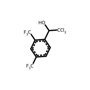 OC(c1ccc(C(F)(F)F)cc1C(F)(F)F)C(Cl)(Cl)Cl